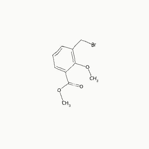 COC(=O)c1cccc(CBr)c1OC